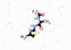 Cc1csc(NC(=O)C(C)NC(=O)C(F)(F)F)n1